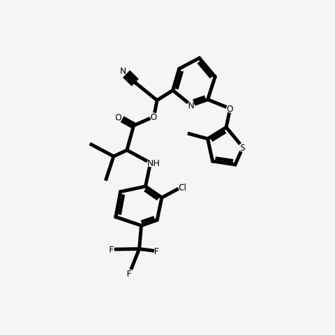 Cc1ccsc1Oc1cccc(C(C#N)OC(=O)C(Nc2ccc(C(F)(F)F)cc2Cl)C(C)C)n1